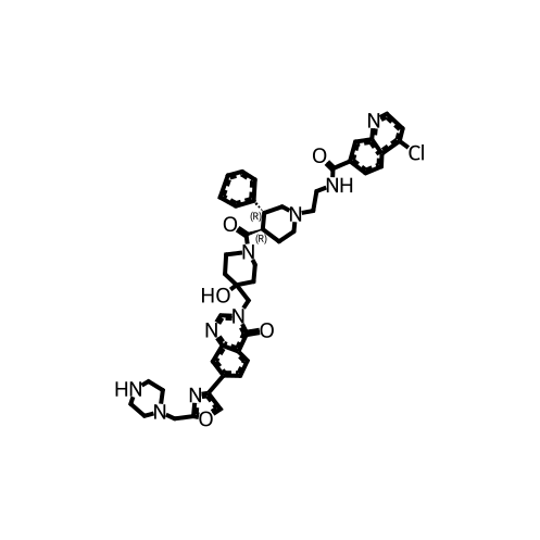 O=C(NCCN1CC[C@@H](C(=O)N2CCC(O)(Cn3cnc4cc(-c5coc(CN6CCNCC6)n5)ccc4c3=O)CC2)[C@H](c2ccccc2)C1)c1ccc2c(Cl)ccnc2c1